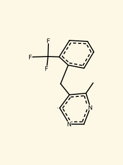 Cc1ncn[c]c1Cc1ccccc1C(F)(F)F